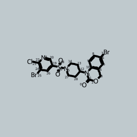 O=C1OCc2cc(Br)ccc2N1C1CCN(S(=O)(=O)c2cnc(Cl)c(Br)c2)CC1